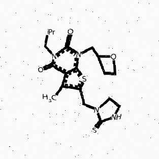 Cc1c(CN2CCNC2=S)sc2c1c(=O)n(CC(C)C)c(=O)n2CC1CCO1